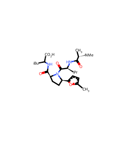 CCC(C)C(NC(=O)[C@@H]1CC[C@H](c2ccc(C)o2)N1C(=O)[C@@H](NC(=O)[C@H](C)NC)C(C)C)C(=O)O